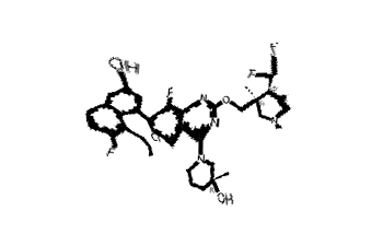 CCc1c(F)ccc2cc(O)cc(-c3c(Cl)cc4c(N5CCC[C@@](C)(O)C5)nc(OC[C@]5(C)CN(C)CC[C@@H]5C(F)F)nc4c3F)c12